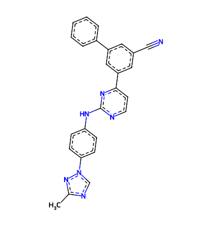 Cc1ncn(-c2ccc(Nc3nccc(-c4cc(C#N)cc(-c5ccccc5)c4)n3)cc2)n1